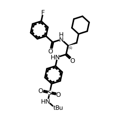 CC(C)(C)NS(=O)(=O)c1ccc(NC(=O)[C@H](CC2CCCCC2)NC(=O)c2cccc(F)c2)cc1